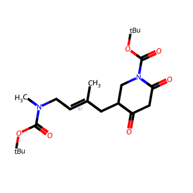 C/C(=C\CN(C)C(=O)OC(C)(C)C)CC1CN(C(=O)OC(C)(C)C)C(=O)CC1=O